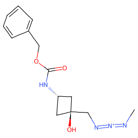 CN=[N+]=NC[C@]1(O)C[C@H](NC(=O)OCc2ccccc2)C1